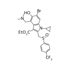 CCOC(=O)c1c(C[S+]([O-])c2ccc(C(F)(F)F)cc2)n(C2CC2)c2cc(Br)c(O)c(CN(C)C)c12